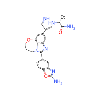 CC[C@@H](N/C=C(\C=N)c1cc2c3c(c1)nc(-c1ccc4oc(N)nc4c1)n3CCCO2)C(N)=O